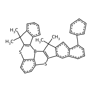 CC1(C)C2=C(B3C4=C(Sc5cccc(c53)S2)c2cc3cccc(-c5ccccc5)c3cc2C4(C)C)c2ccccc21